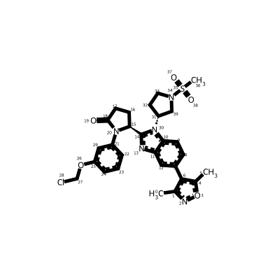 Cc1noc(C)c1-c1ccc2c(c1)nc([C@@H]1CCC(=O)N1c1cccc(OCCl)c1)n2[C@@H]1CCN(S(C)(=O)=O)C1